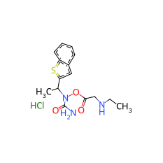 CCNCC(=O)ON(C(N)=O)C(C)c1cc2ccccc2s1.Cl